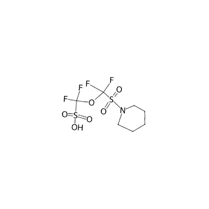 O=S(=O)(O)C(F)(F)OC(F)(F)S(=O)(=O)N1CCCCC1